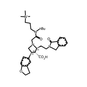 CCCCN(CCC[N+](C)(C)C)C(=O)CN1C[C@H](c2ccc3c(c2)CCO3)[C@@H](C(=O)O)[C@@H]1CCN1Cc2ccccc2C1=O